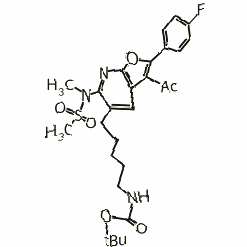 CC(=O)c1c(-c2ccc(F)cc2)oc2nc(N(C)S(C)(=O)=O)c(CCCCCNC(=O)OC(C)(C)C)cc12